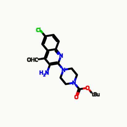 CC(C)(C)OC(=O)N1CCN(c2nc3ccc(Cl)cc3c(C=O)c2N)CC1